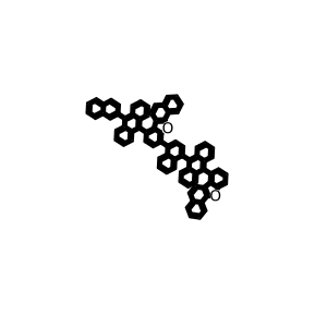 c1ccc2cc(-c3c4ccccc4c(-c4ccc(-c5ccc(-c6c7ccccc7c(-c7cccc8oc9c%10ccccc%10ccc9c78)c7ccccc67)c6ccccc56)c5oc6c7ccccc7ccc6c45)c4ccccc34)ccc2c1